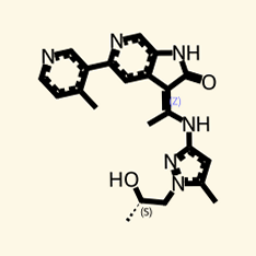 C/C(Nc1cc(C)n(C[C@H](C)O)n1)=C1/C(=O)Nc2cnc(-c3cnccc3C)cc21